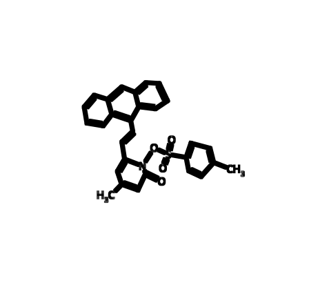 Cc1ccc(S(=O)(=O)On2c(C=Cc3c4ccccc4cc4ccccc34)cc(C)cc2=O)cc1